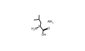 CC(C)C[C@H](N)C(=O)O.[AlH3]